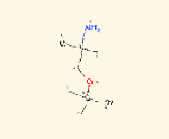 CCC(C)(N)CO[Si](C)(C)C(C)(C)C